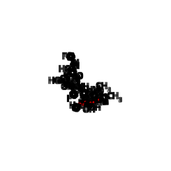 CCC[C@H](OC1C(NC(C)=O)[C@H](O[C@@H]2CC(C(=O)NCCNC(=O)C3CC(n4cc(-c5cccc(F)c5)nn4)C(O)[C@H](O[C@@H]4OC(CO)[C@H](O)C(n5cc(-c6cccc(F)c6)nn5)C4O)C3)CC(n3cc(-c4ccccc4)nn3)C2O[C@@H]2OC(C)[C@@H](O)C(O)C2O)OC(CO)[C@@H]1O)C(=O)N1CCC1